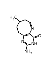 CC1C/C=N\c2c(nc(N)[nH]c2=O)CC1